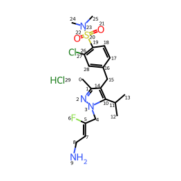 Cc1nn(C/C(F)=C/CN)c(C(C)C)c1Cc1ccc(S(=O)(=O)N(C)C)c(Cl)c1.Cl